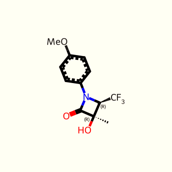 COc1ccc(N2C(=O)[C@](C)(O)[C@@H]2C(F)(F)F)cc1